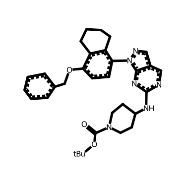 CC(C)(C)OC(=O)N1CCC(Nc2ncc3cnn(-c4ccc(OCc5ccccc5)c5c4CCCC5)c3n2)CC1